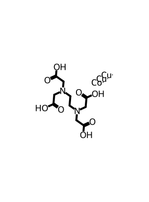 O=C(O)CN(CCN(CC(=O)O)CC(=O)O)CC(=O)O.[Co].[Cu].[Cu]